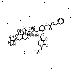 CCN1CCN(C(=O)NC(C(=O)N[C@]2(C)C(=S)N3C(C(=O)O)=C(CSc4nnnn4C)CS[C@H]32)c2ccc(OC(=O)OCc3ccccc3)cc2)C(=O)C1=O